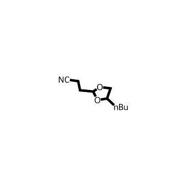 CCCCC1COC(CCC#N)O1